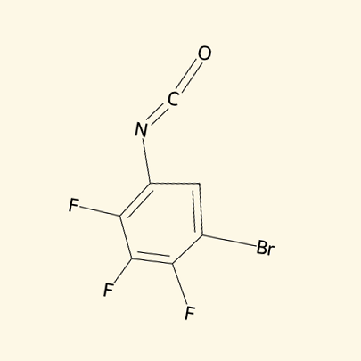 O=C=Nc1cc(Br)c(F)c(F)c1F